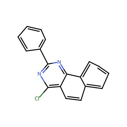 Clc1nc(-c2ccccc2)nc2c1ccc1ccccc12